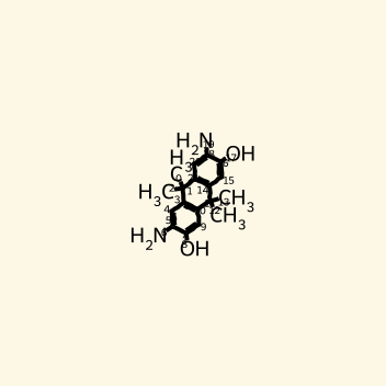 CC1(C)c2cc(N)c(O)cc2C(C)(C)c2cc(O)c(N)cc21